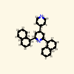 c1ccc2c(-c3cc(-c4ccncc4)cc(-c4cccc5ccccc45)n3)cccc2c1